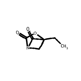 CCC12CN(C(=O)O1)C2=O